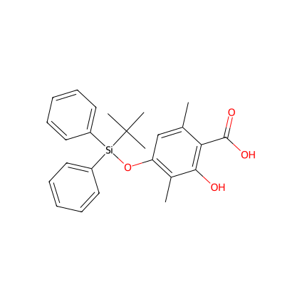 Cc1cc(O[Si](c2ccccc2)(c2ccccc2)C(C)(C)C)c(C)c(O)c1C(=O)O